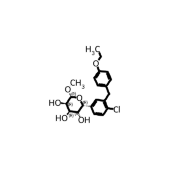 CCOc1ccc(Cc2cc([C@H]3O[C@@H](OC)[C@H](O)[C@H](O)[C@H]3O)ccc2Cl)cc1